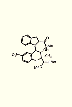 COC(=O)[C@H]1Cc2ccccc2N1[C@@H]1c2cc([N+](=O)[O-])ccc2O[C@](C)(C(OC)OC)[C@H]1O